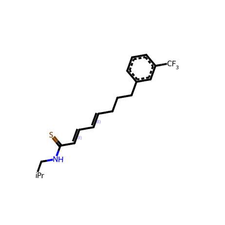 CC(C)CNC(=S)/C=C/C=C/CCCc1cccc(C(F)(F)F)c1